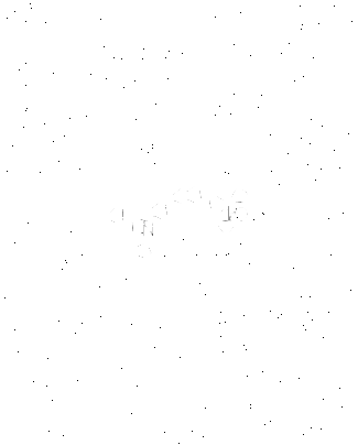 O=P(c1ccccc1)(c1ccccc1)c1ccc(-c2ccc3ccc(-c4ccc(-c5cc(-c6ccccc6)cc(-c6ccccc6)n5)cc4)cc3c2)cc1